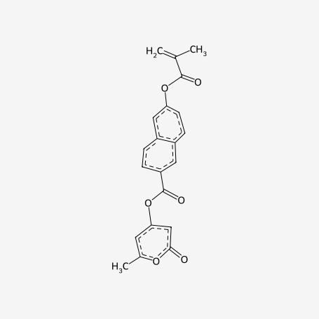 C=C(C)C(=O)Oc1ccc2cc(C(=O)Oc3cc(C)oc(=O)c3)ccc2c1